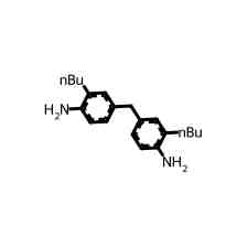 CCCCc1cc(Cc2ccc(N)c(CCCC)c2)ccc1N